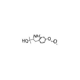 COCOc1ccc(CC(N)C(C)(C)O)cc1